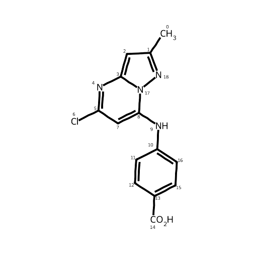 Cc1cc2nc(Cl)cc(Nc3ccc(C(=O)O)cc3)n2n1